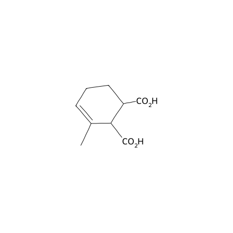 CC1=CCCC(C(=O)O)C1C(=O)O